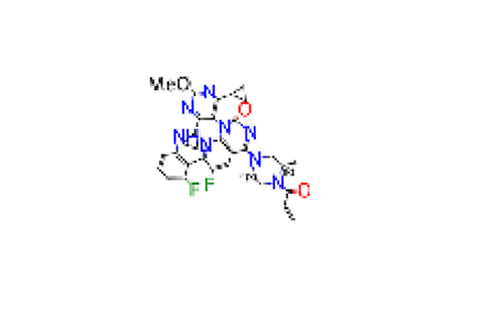 C=CC(=O)N1C[C@H](C)N(c2nc(=O)n(-c3c(C4CC4)nc(OC)nc3C3CC3)c3nc(-c4c(N)cccc4F)c(F)cc23)C[C@H]1C